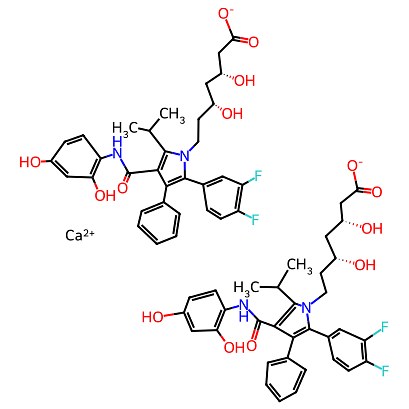 CC(C)c1c(C(=O)Nc2ccc(O)cc2O)c(-c2ccccc2)c(-c2ccc(F)c(F)c2)n1CC[C@@H](O)C[C@@H](O)CC(=O)[O-].CC(C)c1c(C(=O)Nc2ccc(O)cc2O)c(-c2ccccc2)c(-c2ccc(F)c(F)c2)n1CC[C@@H](O)C[C@@H](O)CC(=O)[O-].[Ca+2]